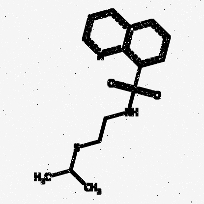 CC(C)SCCNS(=O)(=O)c1cccc2cccnc12